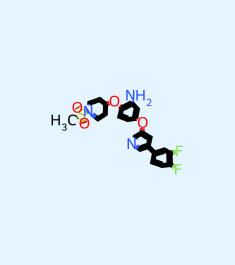 CS(=O)(=O)N1CCC(Oc2ccc(Oc3cncc(-c4ccc(F)c(F)c4)c3)cc2N)CC1